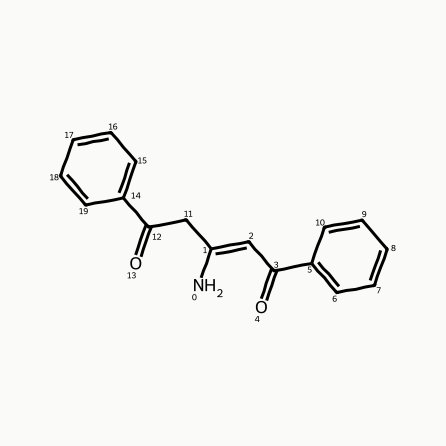 NC(=CC(=O)c1ccccc1)CC(=O)c1ccccc1